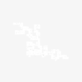 CCOC(=O)C(Cc1ccc(OC(c2sc(-c3ccc(C(F)(F)F)cc3)nc2C)C(C)S(C)(=O)=O)cc1C)OCC